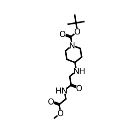 COC(=O)CNC(=O)CNC1CCN(C(=O)OC(C)(C)C)CC1